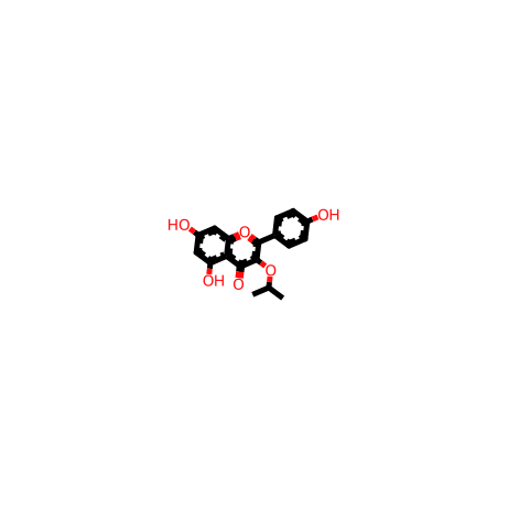 CC(C)Oc1c(-c2ccc(O)cc2)oc2cc(O)cc(O)c2c1=O